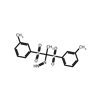 Cc1cccc(S(=O)(=O)C(C)(N=N)S(=O)(=O)c2cccc(C)c2)c1